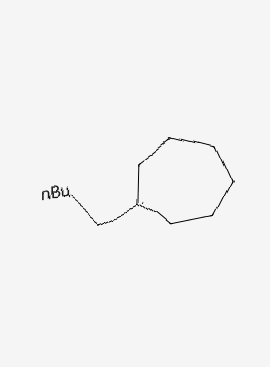 CCCCC[C]1CCCCCC1